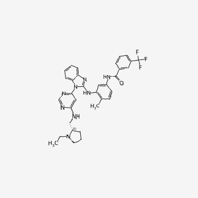 CCN1CCC[C@H]1CNc1cc(-n2c(Nc3cc(NC(=O)c4cccc(C(F)(F)F)c4)ccc3C)nc3ccccc32)ncn1